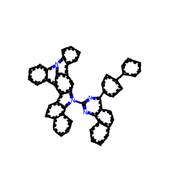 c1ccc(-c2ccc(-c3nc(-n4c5cc6c7ccccc7n7c8ccccc8c(c5c5ccc8ccccc8c54)c67)nc4c3ccc3ccccc34)cc2)cc1